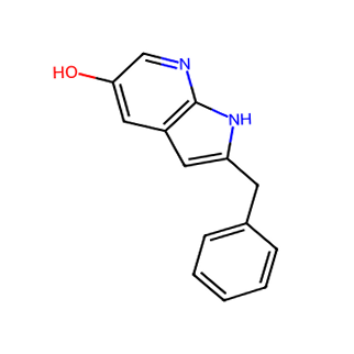 Oc1cnc2[nH]c(Cc3ccccc3)cc2c1